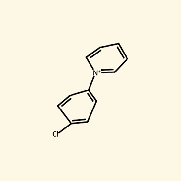 Clc1ccc(-[n+]2ccccc2)cc1